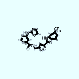 O=C(NCc1cc(-c2nc3ccc(C(F)(F)F)cc3[nH]2)on1)c1cc(Nc2nccs2)ncn1